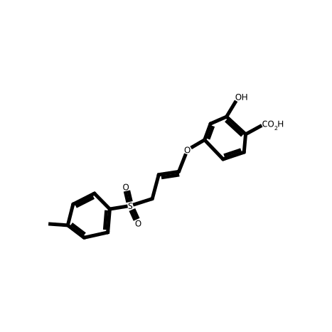 Cc1ccc(S(=O)(=O)CC=COc2ccc(C(=O)O)c(O)c2)cc1